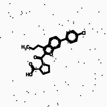 CCCc1c(C(=O)N2CCC[C@H]2C(=O)O)oc2cc(-c3ccc(Cl)cc3)ccc12